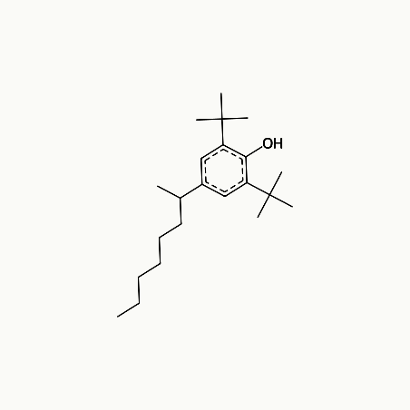 CCCCCCC(C)c1cc(C(C)(C)C)c(O)c(C(C)(C)C)c1